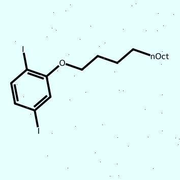 CCCCCCCCCCCCOc1cc(I)ccc1I